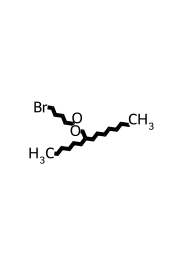 CCCCCCCCC(CCCCCC)COC(=O)CCCCBr